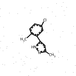 Cc1cc(-c2cc(Cl)ccc2C)[nH]n1